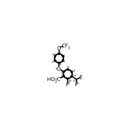 O=C(O)c1c(Oc2ccc(OC(F)(F)F)cc2)ccc(C(F)F)c1F